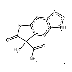 CC1(C(N)=O)C(=O)Nc2cc3nn[nH]c3cc21